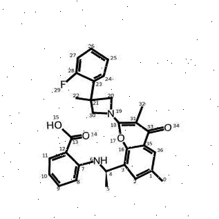 Cc1cc([C@@H](C)Nc2ccccc2C(=O)O)c2oc(N3CC(C)(c4ccccc4F)C3)c(C)c(=O)c2c1